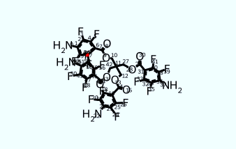 Nc1c(F)c(F)c(C(=O)OCC(COC(=O)c2c(F)c(F)c(N)c(F)c2F)(COC(=O)c2c(F)c(F)c(N)c(F)c2F)COC(=O)c2c(F)c(F)c(N)c(F)c2F)c(F)c1F